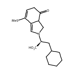 CSC1=CCC(=O)C2CN([C@@H](CC3CCCCC3)C(=O)O)C=C12